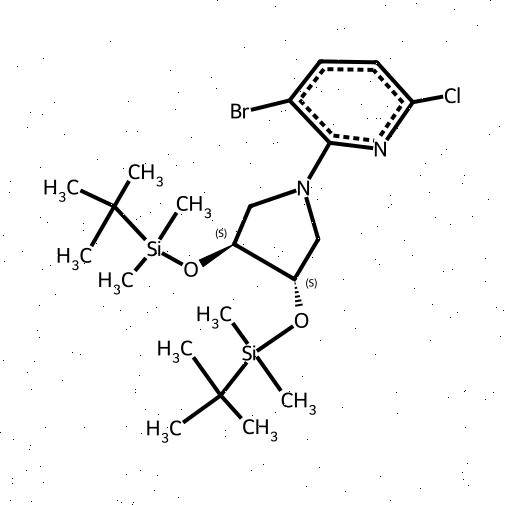 CC(C)(C)[Si](C)(C)O[C@H]1CN(c2nc(Cl)ccc2Br)C[C@@H]1O[Si](C)(C)C(C)(C)C